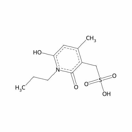 CCCn1c(O)cc(C)c(CS(=O)(=O)O)c1=O